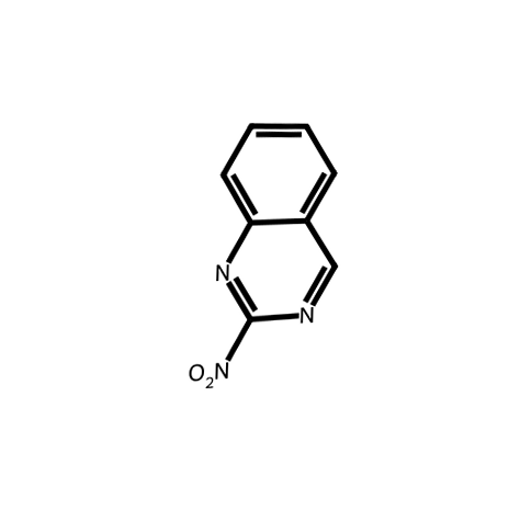 O=[N+]([O-])c1ncc2ccccc2n1